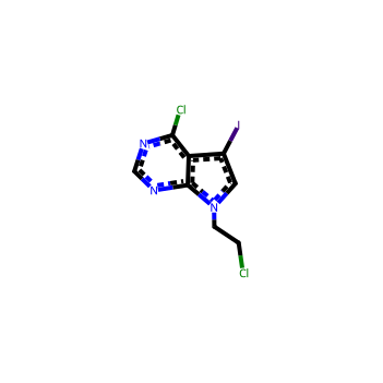 ClCCn1cc(I)c2c(Cl)ncnc21